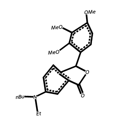 CCCCN(CC)c1ccc2c(c1)C(=O)OC2c1ccc(OC)c(OC)c1OC